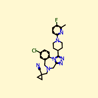 Cc1nc(N2CCC(c3nnc4n3-c3ccc(Cl)cc3CN(CC3(C#N)CC3)C4)CC2)ccc1F